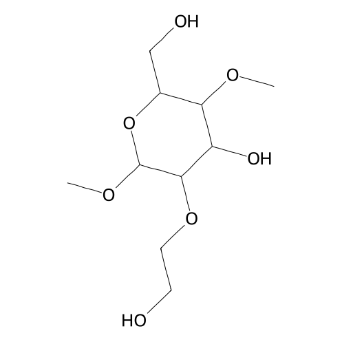 COC1OC(CO)C(OC)C(O)C1OCCO